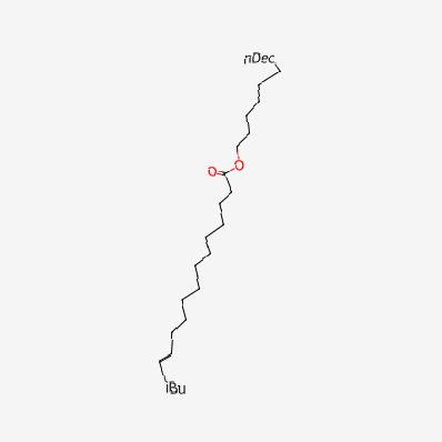 CCCCCCCCCCCCCCCCOC(=O)CCCCCCCCCCCCC(C)CC